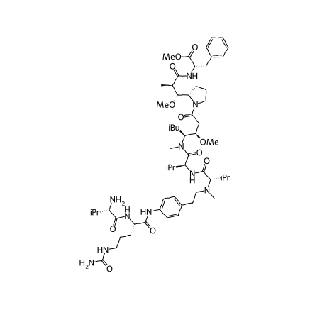 CCC(C)[C@@H]([C@@H](CC(=O)N1CCC[C@H]1[C@H](OC)[C@@H](C)C(=O)N[C@@H](Cc1ccccc1)C(=O)OC)OC)N(C)C(=O)[C@@H](NC(=O)[C@H](C(C)C)N(C)CCc1ccc(NC(=O)[C@H](CCCNC(N)=O)NC(=O)[C@@H](N)C(C)C)cc1)C(C)C